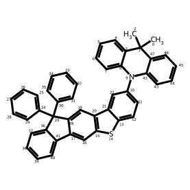 CC1(C)c2ccccc2N(c2ccc3sc4cc5c(cc4c3c2)C(c2ccccc2)(c2ccccc2)c2ccccc2-5)c2ccccc21